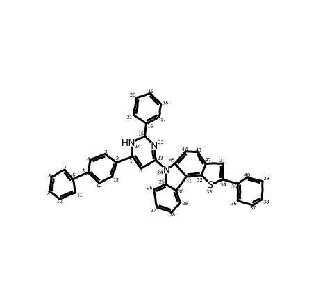 C1=C(c2ccc(-c3ccccc3)cc2)NC(c2ccccc2)N=C1n1c2ccccc2c2c3sc(-c4ccccc4)cc3ccc21